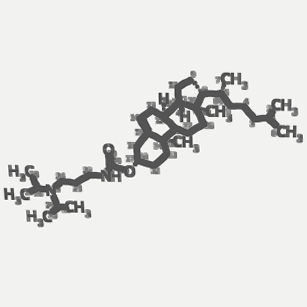 CC(C)CCC[C@@H](C)[C@H]1CC[C@H]2[C@@H]3CC=C4C[C@@H](OC(=O)NCCCN(C(C)C)C(C)C)CC[C@]4(C)C3CC[C@]12C